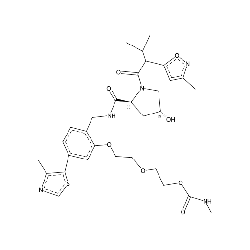 CNC(=O)OCCOCCOc1cc(-c2scnc2C)ccc1CNC(=O)[C@@H]1C[C@@H](O)CN1C(=O)C(c1cc(C)no1)C(C)C